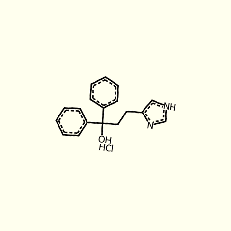 Cl.OC(CCc1c[nH]cn1)(c1ccccc1)c1ccccc1